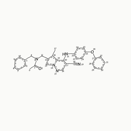 CC(=O)N(Cc1ccccc1)Cc1cn2ncc(C#N)c(Nc3ccc(Oc4ccccc4)cc3)c2c1C